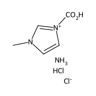 Cl.Cn1cc[n+](C(=O)O)c1.N.[Cl-]